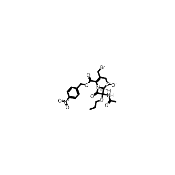 CCCOC1(NC(C)=O)C(=O)N2C(C(=O)OCc3ccc([N+](=O)[O-])cc3)=C(CBr)C[S+]([O-])[C@H]21